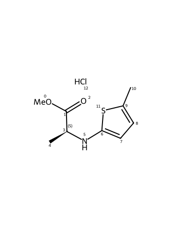 COC(=O)[C@H](C)Nc1ccc(C)s1.Cl